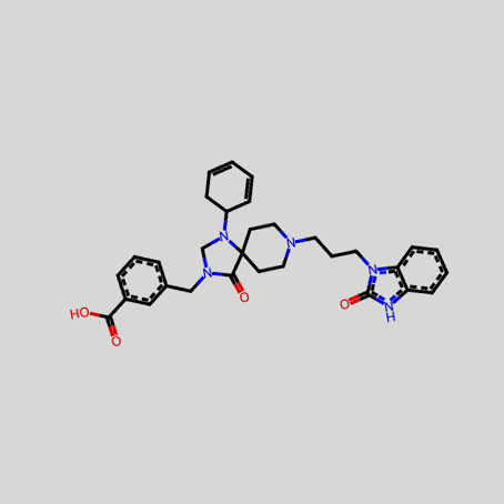 O=C(O)c1cccc(CN2CN(C3C=CC=CC3)C3(CCN(CCCn4c(=O)[nH]c5ccccc54)CC3)C2=O)c1